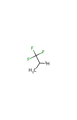 [3H]C(C)C(F)(F)F